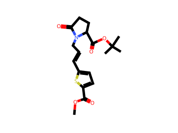 COC(=O)c1ccc(/C=C/CN2C(=O)CCC2C(=O)OC(C)(C)C)s1